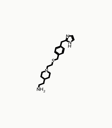 NCCC1CCN(CCSCc2ccc(Cc3ncc[nH]3)cc2)CC1